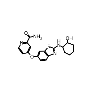 NC(=O)c1cc(Oc2ccc3nc(NC4CCCCC4O)sc3c2)ccn1